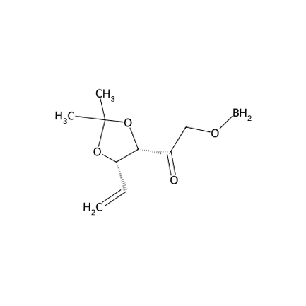 BOCC(=O)[C@H]1OC(C)(C)O[C@H]1C=C